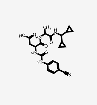 CC(NC(=O)C(CC(=O)O)NC(=S)Nc1ccc(C#N)cc1)C(=O)NC(C1CC1)C1CC1